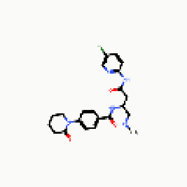 CNCC(CC(=O)Nc1ccc(Cl)cn1)NC(=O)c1ccc(N2CCCCC2=O)cc1